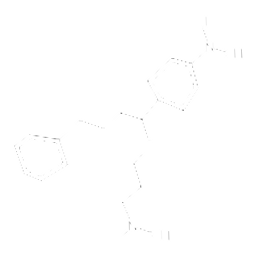 CN(C)CCCOC(CCCc1ccccc1)c1ccc(N(C)C)cc1